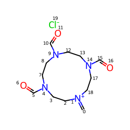 C=[N+]1CCN(C=O)CCN(C=O)CCN(C=O)CC1.[Cl-]